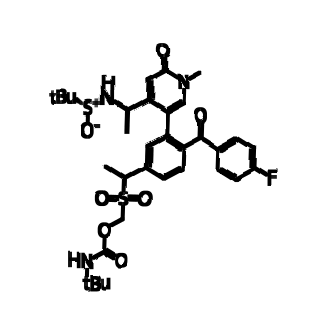 CC(N[S@@+]([O-])C(C)(C)C)c1cc(=O)n(C)cc1-c1cc(C(C)S(=O)(=O)COC(=O)NC(C)(C)C)ccc1C(=O)c1ccc(F)cc1